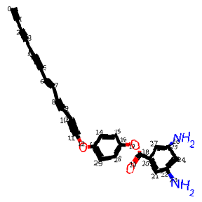 C#CC#CC#CC#CC#CC#COc1ccc(OC(=O)c2cc(N)cc(N)c2)cc1